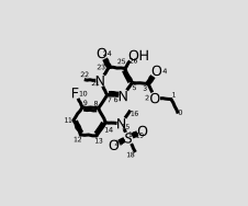 CCOC(=O)c1nc(-c2c(F)cccc2N(C)S(C)(=O)=O)n(C)c(=O)c1O